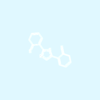 S=C1CC=CC=C1c1cnc(C2=CC=CCC2=S)s1